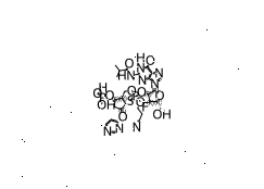 CC(C)C(=O)Nc1nc2c(ncn2[C@@H]2O[C@H](CO)[C@@H](F)[C@@H]2OP(=S)(OCCC#N)OC[C@H]2C[C@@H](Oc3ccncn3)C[C@@H]2O[PH](=O)O)c(=O)[nH]1